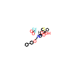 O=C(O[C@H]1C[N+]2(CCCOc3ccc(-c4ccccc4)cc3)CCC1CC2)[C@](O)(c1cccs1)C1CCCC1.O=C([O-])C(F)(F)F